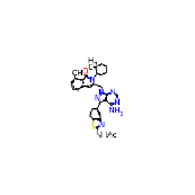 CC(=O)Nc1nc2c(s1)CCC(c1nn(Cc3cc4cccc(C)c4c(=O)n3-c3ccccc3C)c3ncnc(N)c13)=C2